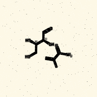 C=C(C)C(N)=O.O=C[C@@H](O)[C@H](O)CO